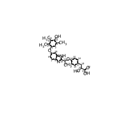 Cc1cc(Oc2ccc3nc(C(C)Oc4ccc(CC(O)C(=O)O)cc4)[nH]c3c2)c(C)c(C)c1O